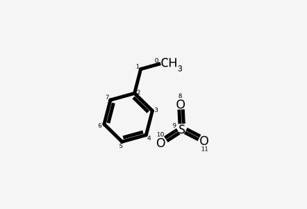 CCc1ccccc1.O=S(=O)=O